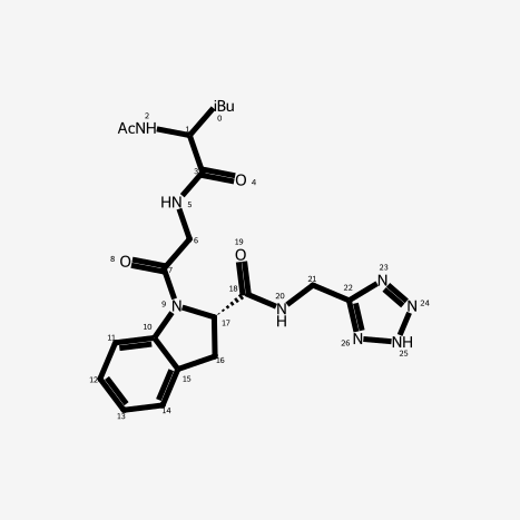 CCC(C)C(NC(C)=O)C(=O)NCC(=O)N1c2ccccc2C[C@H]1C(=O)NCc1nn[nH]n1